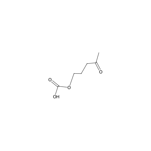 CC(=O)CCCOC(=O)O